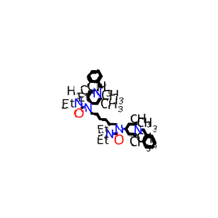 CCN(CC)C(=O)N(CCCCCCN(C(=O)N(CC)CC)C1CC(C)(C)N(Cc2ccccc2)C(C)(C)C1)C1CC(C)(C)N(Cc2ccccc2)C(C)(C)C1